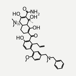 C=CCc1c(-c2cc(CN(C)Cc3ccccc3)ccc2OC)ccc(O)c1C(=O)C1=C(O)C2C(CC1)[C@H](N(C)C)C(O)=C(C(N)=O)[C@@]2(C)O